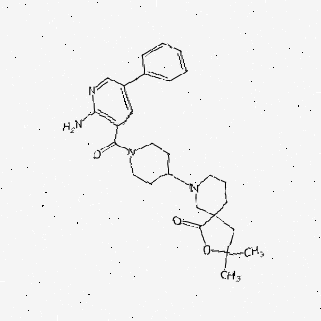 CC1(C)CC2(CCCN(C3CCN(C(=O)c4cc(-c5ccccc5)cnc4N)CC3)C2)C(=O)O1